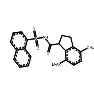 COc1ccc(OC)c2c1CCC2C(=O)NS(=O)(=O)c1cccc2ccccc12